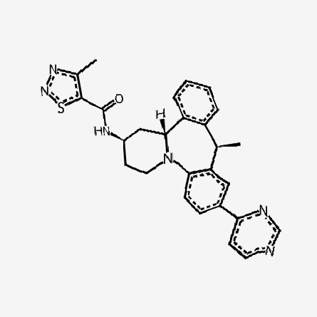 Cc1nnsc1C(=O)N[C@@H]1CCN2c3ccc(-c4ccncn4)cc3[C@H](C)c3ccccc3[C@H]2C1